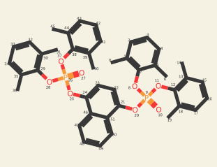 Cc1cccc(C)c1OP(=O)(Oc1c(C)cccc1C)Oc1ccc(OP(=O)(Oc2c(C)cccc2C)Oc2c(C)cccc2C)c2ccccc12